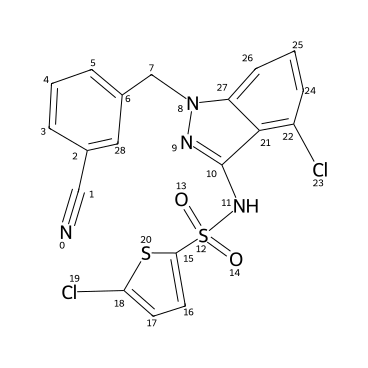 N#Cc1cccc(Cn2nc(NS(=O)(=O)c3ccc(Cl)s3)c3c(Cl)cccc32)c1